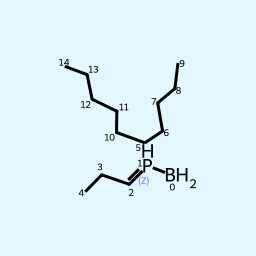 B/[PH](=C/CC)C(CCCC)CCCCC